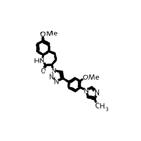 COC1=CC2CCC(n3cc(-c4ccc(-n5cnc(C)c5)c(OC)c4)nn3)C(=O)NC2C=C1